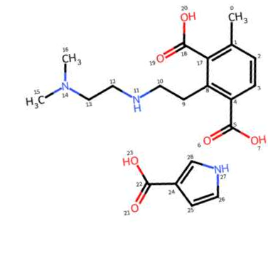 Cc1ccc(C(=O)O)c(CCNCCN(C)C)c1C(=O)O.O=C(O)c1cc[nH]c1